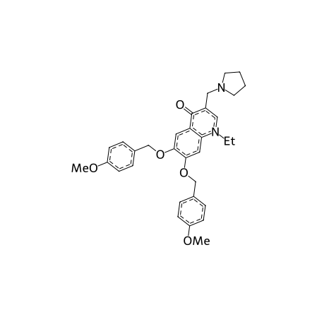 CCn1cc(CN2CCCC2)c(=O)c2cc(OCc3ccc(OC)cc3)c(OCc3ccc(OC)cc3)cc21